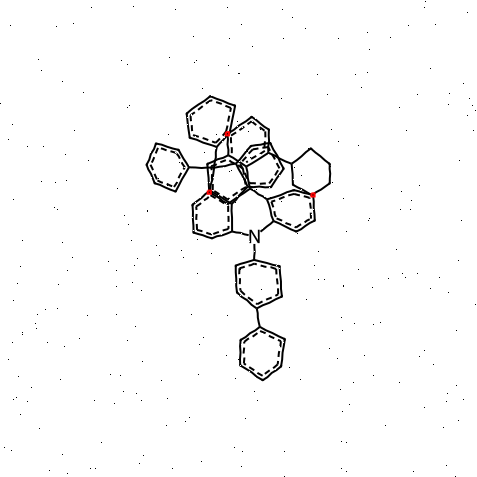 c1ccc(-c2ccc(N(c3ccccc3-c3cccc4cccc(C5CCCCC5)c34)c3cccc4c3-c3ccccc3C4(c3ccccc3)c3ccccc3)cc2)cc1